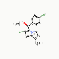 O=C(c1ccc(Cl)cc1)c1c(Cl)cc2n1CCC2C(=O)O.[MgH2]